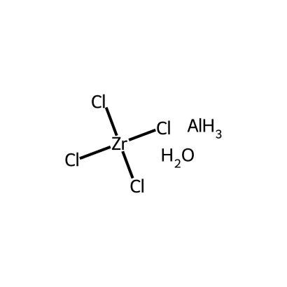 O.[AlH3].[Cl][Zr]([Cl])([Cl])[Cl]